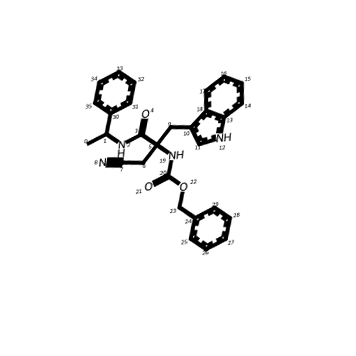 CC(NC(=O)C(CC#N)(Cc1c[nH]c2ccccc12)NC(=O)OCc1ccccc1)c1ccccc1